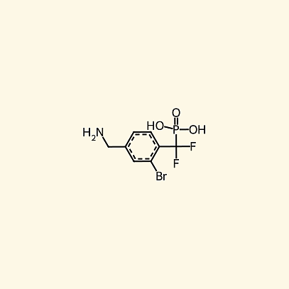 NCc1ccc(C(F)(F)P(=O)(O)O)c(Br)c1